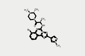 C[C@@H]1CN(C(=O)[C@@H](C)Nc2nc3c(Br)cccc3c3nc(-c4cnn(C)c4)nn23)CCN1C